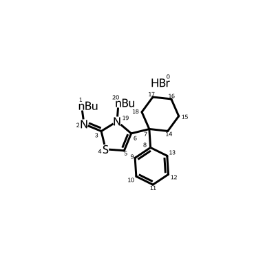 Br.CCCCN=c1scc(C2(c3ccccc3)CCCCC2)n1CCCC